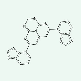 C1=NC2=NC(c3cccc4sccc34)=CC3=CC(c4cccc5sccc45)=NC(=N1)N32